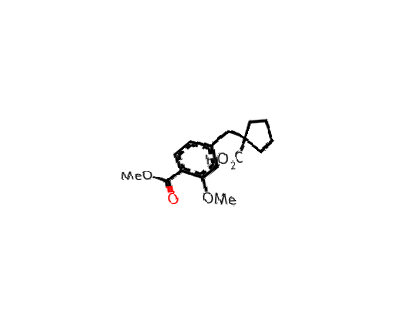 COC(=O)c1ccc(CC2(C(=O)O)CCCC2)cc1OC